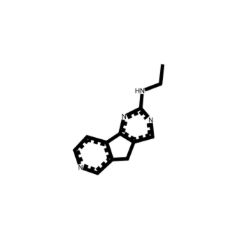 CCNc1ncc2c(n1)-c1ccncc1C2